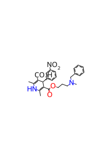 CC1=C(C(=O)O)C(c2cccc([N+](=O)[O-])c2)C(C(=O)OCCCN(C)Cc2ccccc2)=C(C)N1